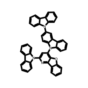 c1ccc2c(c1)oc1c(-n3c4ccccc4c4cc(-n5c6ccccc6c6ccccc65)ccc43)cc(-n3c4ccccc4c4ccccc43)nc12